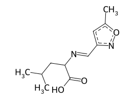 Cc1cc(C=NC(CC(C)C)C(=O)O)no1